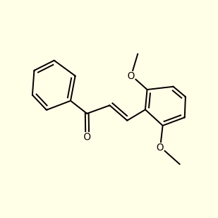 COc1cccc(OC)c1C=CC(=O)c1ccccc1